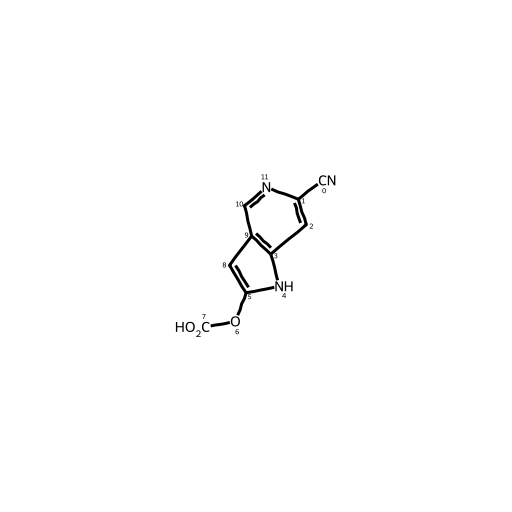 N#Cc1cc2[nH]c(OC(=O)O)cc2cn1